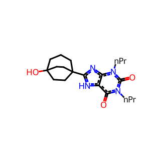 CCCn1c(=O)c2[nH]c(C34CCCC(O)(CC3)CC4)nc2n(CCC)c1=O